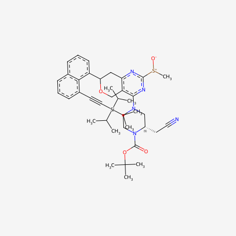 CC(C)[Si](C#Cc1cccc2cccc(C3Cc4nc([S+](C)[O-])nc(N5CCN(C(=O)OC(C)(C)C)[C@@H](CC#N)C5)c4CO3)c12)(C(C)C)C(C)C